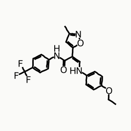 CCOc1ccc(N/C=C(\C(=O)Nc2ccc(C(F)(F)F)cc2)c2cc(C)no2)cc1